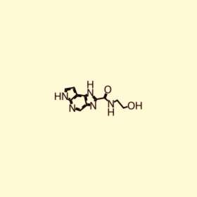 O=C(NCCO)c1nc2cnc3[nH]ccc3c2[nH]1